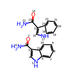 NC(=O)c1c[nH]c2ccccc12.NC(=O)c1c[nH]c2ccccc12